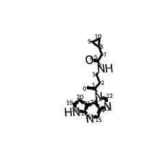 C=C(CCNC(=O)CC1CC1)n1cnc2cnc3[nH]ccc3c21